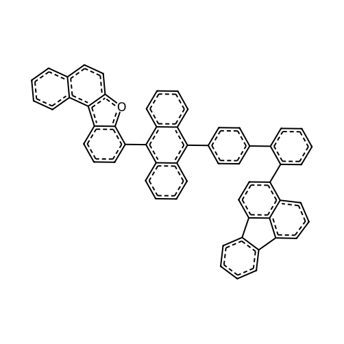 c1ccc(-c2ccc3c4c(cccc24)-c2ccccc2-3)c(-c2ccc(-c3c4ccccc4c(-c4cccc5c4oc4ccc6ccccc6c45)c4ccccc34)cc2)c1